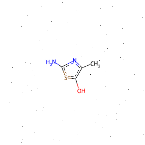 Cc1nc(N)sc1O